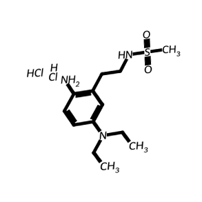 CCN(CC)c1ccc(N)c(CCNS(C)(=O)=O)c1.Cl.Cl